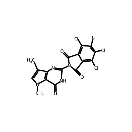 Cc1cn(C)c2c(=O)[nH]c(N3C(=O)c4c(Cl)c(Cl)c(Cl)c(Cl)c4C3=O)nc12